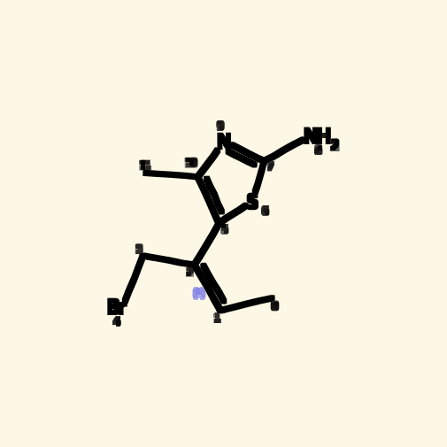 C/C=C(/CBr)c1sc(N)nc1C